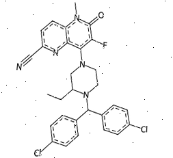 CCC1CN(c2c(F)c(=O)n(C)c3ccc(C#N)nc23)CCN1C(c1ccc(Cl)cc1)c1ccc(Cl)cc1